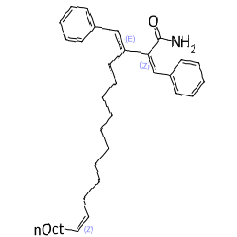 CCCCCCCC/C=C\CCCCCCCCCC(=C\c1ccccc1)/C(=C/c1ccccc1)C(N)=O